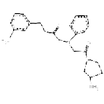 Cc1cccc(CCC(=O)CN(CC(=O)N2CCC(N)C2)c2ccccc2)c1